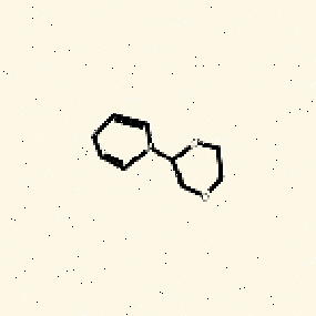 C1=CN([C]2COCCO2)C=CC1